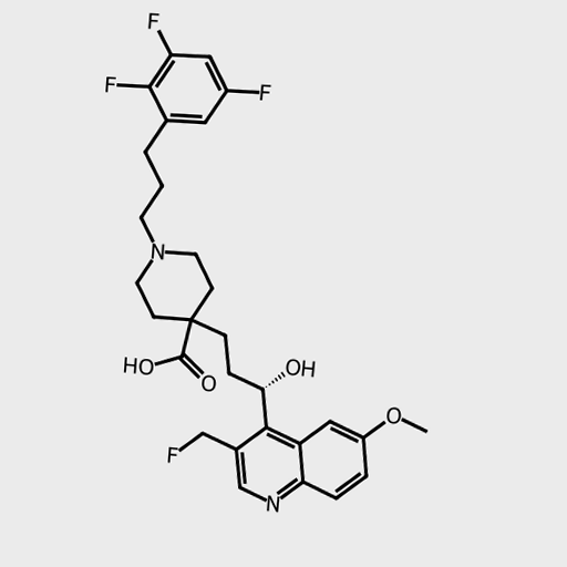 COc1ccc2ncc(CF)c([C@@H](O)CCC3(C(=O)O)CCN(CCCc4cc(F)cc(F)c4F)CC3)c2c1